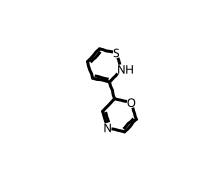 C1=CSNC(C2C=NC=CO2)=C1